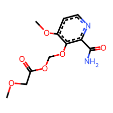 COCC(=O)OCOc1c(OC)ccnc1C(N)=O